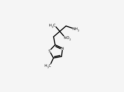 Cc1cnc(CC(C)(CN)[N+](=O)[O-])s1